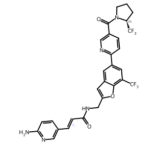 Nc1ccc(/C=C/C(=O)NCc2cc3cc(-c4ccc(C(=O)N5CCC[C@H]5C(F)(F)F)cn4)cc(C(F)(F)F)c3o2)cn1